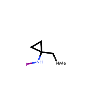 CNCC1(NI)CC1